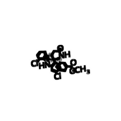 COC(=O)c1cccc([C@H]2NC(=O)C[C@@H](c3cccc(Cl)c3)[C@]23C(=O)Nc2cc(Cl)ccc23)c1